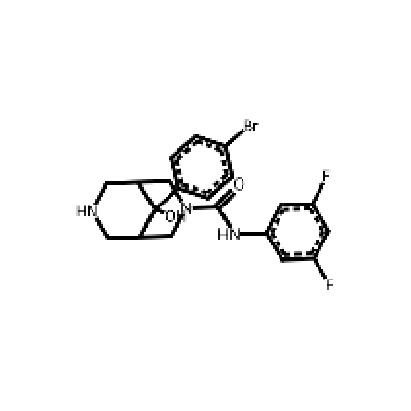 O=C(Nc1cc(F)cc(F)c1)N1CC2CNCC(C1)C2(O)c1ccc(Br)cc1